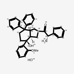 COc1ccccc1[C@]1(O)CCC(c2ccccc2)(c2ccccc2)[C@H]2CN(C(=O)[C@@H](N)c3ccccc3)C[C@H]21.Cl